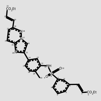 CCOC(=O)/C=C/c1cccc(S(=O)(=O)Nc2cc(-c3cn4nc(/C=C/C(=O)OCC)ccc4n3)ccc2C)c1